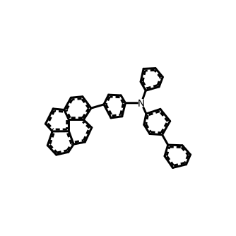 c1ccc(-c2ccc(N(c3ccccc3)c3ccc(-c4ccc5ccc6cccc7ccc4c5c67)cc3)cc2)cc1